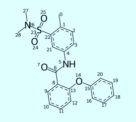 Cc1ccc(NC(=O)c2ccccc2Oc2ccccc2)cc1S(=O)(=O)N(C)C